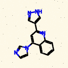 c1ccc2c(-n3ccnc3)cc(-c3cn[nH]c3)nc2c1